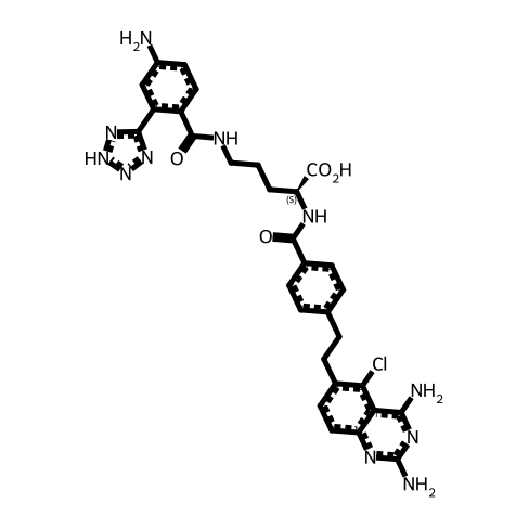 Nc1ccc(C(=O)NCCC[C@H](NC(=O)c2ccc(CCc3ccc4nc(N)nc(N)c4c3Cl)cc2)C(=O)O)c(-c2nn[nH]n2)c1